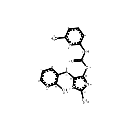 Cc1cccc(NC(=O)Oc2nc(C)sc2Nc2cccnc2C)n1